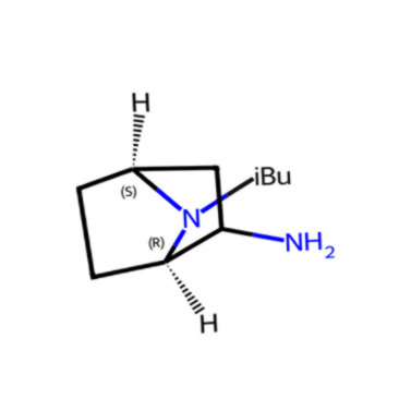 CCC(C)N1[C@H]2CC[C@@H]1C(N)C2